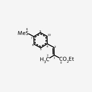 CCOC(=O)C(C)=Cc1ccc(SC)cc1